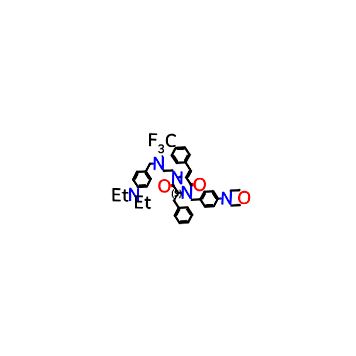 CCN(CC)c1ccc(CN(C)CCN(C)C(=O)[C@H](Cc2ccccc2)N(Cc2ccc(N3CCOCC3)cc2)C(=O)C=Cc2ccc(C(F)(F)F)cc2)cc1